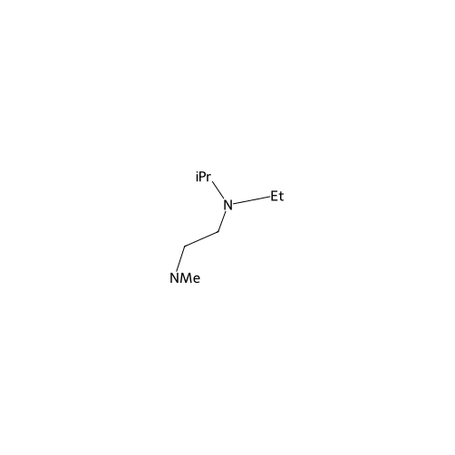 CCN(CCNC)C(C)C